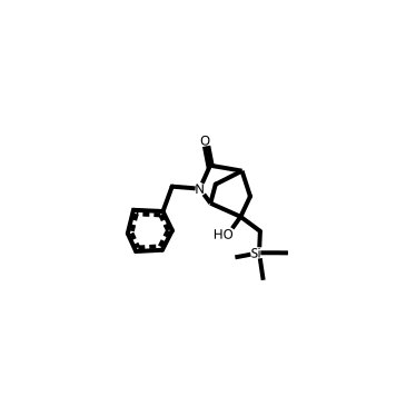 C[Si](C)(C)CC1(O)CC2CC1N(Cc1ccccc1)C2=O